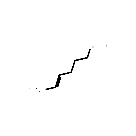 CCCCCCCCC=CNC(C)=O